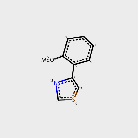 COc1[c]cccc1-c1cscn1